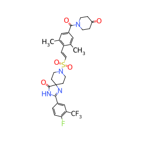 Cc1cc(C(=O)N2CCC(=O)CC2)cc(C)c1C=CS(=O)(=O)N1CCC2(CC1)N=C(c1ccc(F)c(C(F)(F)F)c1)NC2=O